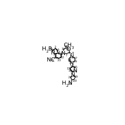 Bc1ccc2c(N3C[C@H](CN4CCN(c5ccc(N6CC[C@H](N)C6)nc5)CC4)O[C@H](C)C3)ccc(C#N)c2n1